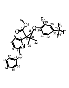 COC(=O)C1(c2cccc(Oc3ccccc3)n2)C(Oc2ccc(C(F)(F)F)cc2F)C1(C)C